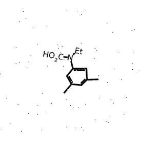 CCN(C(=O)O)c1cc(C)cc(C)c1